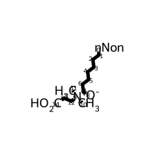 CCCCCCCCCCCCCCCC([O-])[N+](C)(C)CCC(=O)O